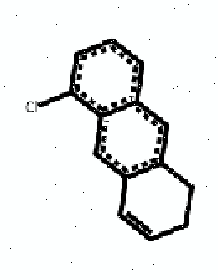 Clc1cccc2cc3c(cc12)C=CCC3